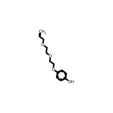 C=CCOCCOCCOc1ccc(O)cc1